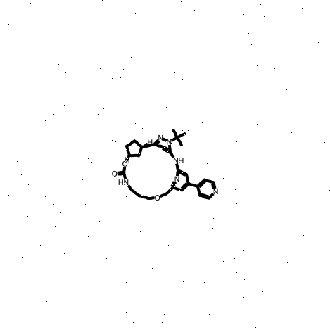 CC(C)(C)n1nc2cc1Nc1cc(-c3ccncc3)cc(n1)COCCCNC(=O)O[C@@H]1CC[C@H]2C1